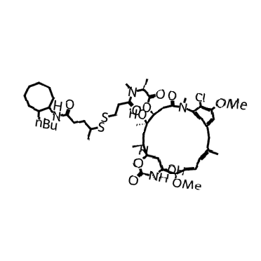 CCCCC1CCCCCCC1NC(=O)CCC(C)SSCCC(=O)N(C)[C@@H](C)C(=O)O[C@H]1CC(=O)N(C)c2cc(cc(OC)c2Cl)C/C(C)=C/C=C/[C@@H](OC)[C@@]2(O)C[C@H](OC(=O)N2)[C@@H](C)C[C@@]1(C)O